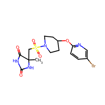 CC1(CS(=O)(=O)N2CCC(Oc3ccc(Br)cn3)CC2)NC(=O)NC1=O